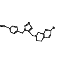 N#Cc1ccc(Cn2cncc2CN2CCc3ccc(Br)cc3C2)cc1